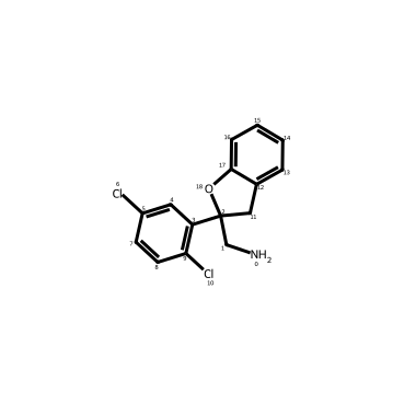 NCC1(c2cc(Cl)ccc2Cl)Cc2ccccc2O1